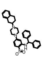 O=[N+]([O-])c1ccc(N2CCN(C3CCc4ccccc4C3)CC2)cc1NC(c1ccccc1)c1ccccc1